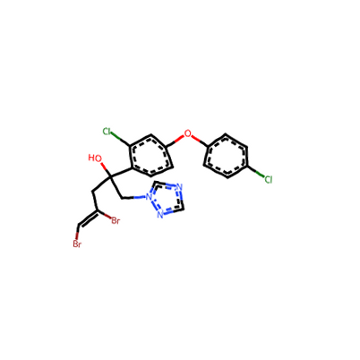 OC(CC(Br)=CBr)(Cn1cncn1)c1ccc(Oc2ccc(Cl)cc2)cc1Cl